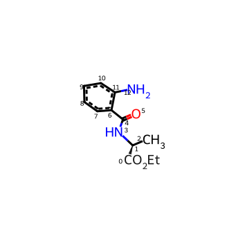 CCOC(=O)[C@H](C)NC(=O)c1ccccc1N